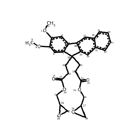 COc1cc2c(cc1OC)C(CCC(=O)OCC1CO1)(CCC(=O)OCC1CO1)c1cc3ccccc3cc1-2